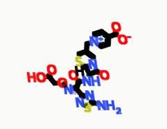 Nc1nc(/C(=N/OCC(=O)O)C(=O)NC2C(=O)N3C=C(C[n+]4ccc(C(=O)[O-])cc4)CS[C@H]23)ns1